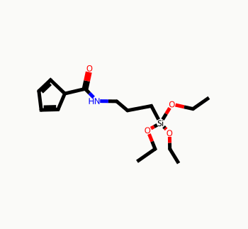 CCO[Si](CCCNC(=O)C1C=CC=C1)(OCC)OCC